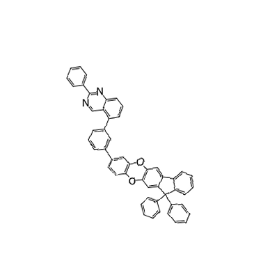 c1ccc(-c2ncc3c(-c4cccc(-c5ccc6c(c5)Oc5cc7c(cc5O6)C(c5ccccc5)(c5ccccc5)c5ccccc5-7)c4)cccc3n2)cc1